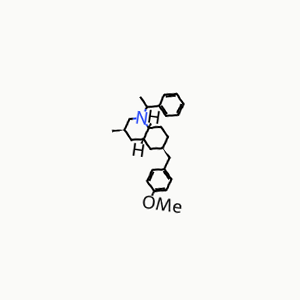 COc1ccc(C[C@@H]2CC[C@@H]3[C@@H](C[C@@H](C)CN3C(C)c3ccccc3)C2)cc1